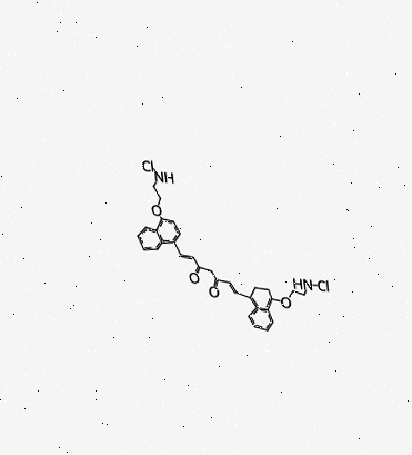 O=C(/C=C/C1=c2ccccc2=C(OCCNCl)CC1)CC(=O)/C=C/c1ccc(OCCNCl)c2ccccc12